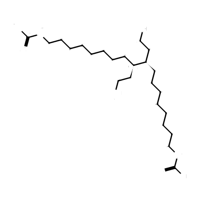 CC(=S)OCCCCCCCC[C@H](CCO)[C@@H](CCO)CCCCCCCCOC(C)=S